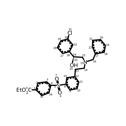 CCOC(=O)c1ccc(S(=O)(=O)c2cccc(CCN(Cc3ccccc3)C[C@@H](O)c3cccc(Cl)c3)c2)cc1